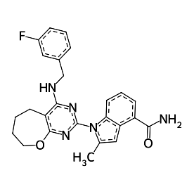 Cc1cc2c(C(N)=O)cccc2n1-c1nc(NCc2cccc(F)c2)c2c(n1)OCCCC2